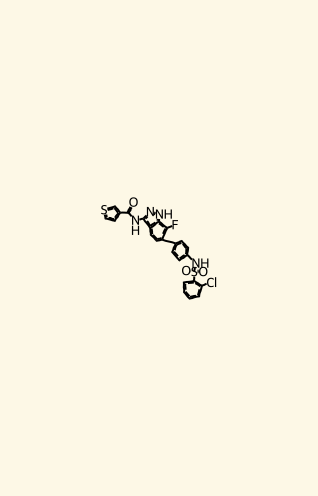 O=C(Nc1n[nH]c2c(F)c(-c3ccc(NS(=O)(=O)c4ccccc4Cl)cc3)ccc12)c1ccsc1